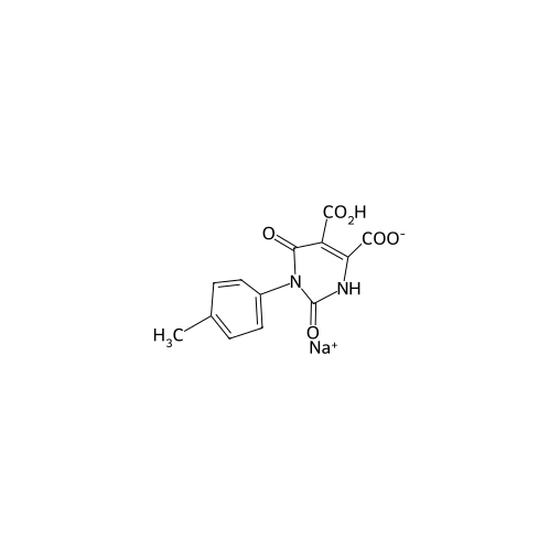 Cc1ccc(-n2c(=O)[nH]c(C(=O)[O-])c(C(=O)O)c2=O)cc1.[Na+]